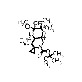 CO[C@@]1(C)O[C@@H]2[C@@H](CCl)C3(CC3)N(C(=O)OC(C)(C)C)C[C@H]2O[C@]1(C)OC